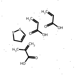 C1=CSSC1.C=C(C)C(=O)O.C=CC(=O)O.C=CC(=O)O